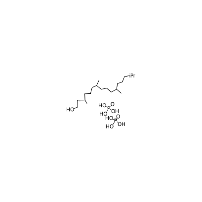 C/C(=C\CO)CCCC(C)CCCC(C)CCCC(C)C.O=P(O)(O)O.O=P(O)(O)O